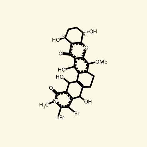 CCCc1c(Br)c2c(c(=O)n1C)C(O)C1=C(CCc3c1c(O)c1c(=O)c4c(oc1c3OC)[C@@H](O)CC[C@@H]4O)C2O